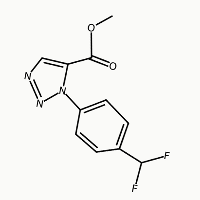 COC(=O)c1cnnn1-c1ccc(C(F)F)cc1